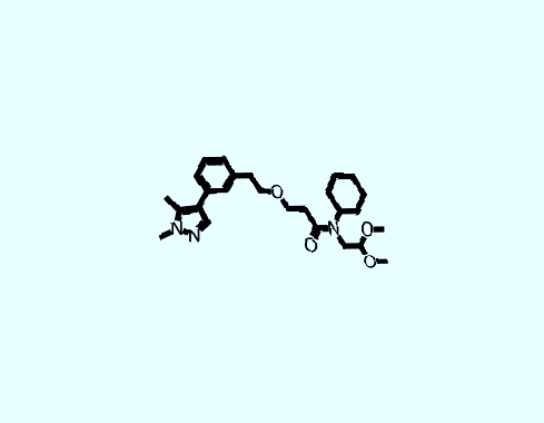 COC(CN(C(=O)CCOCCc1cccc(-c2cnn(C)c2C)c1)C1CCCCC1)OC